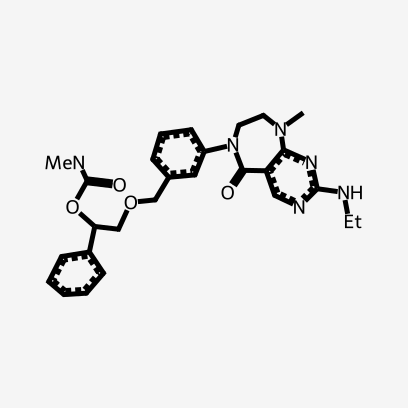 CCNc1ncc2c(n1)N(C)CCN(c1cccc(COCC(OC(=O)NC)c3ccccc3)c1)C2=O